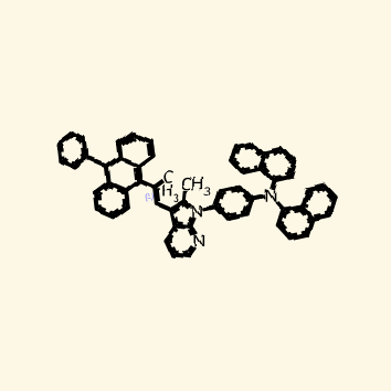 C/C(=C\c1c(C)n(-c2ccc(N(c3cccc4ccccc34)c3cccc4ccccc34)cc2)c2ncccc12)C1=C2C=CC=CC2C(c2ccccc2)c2ccccc21